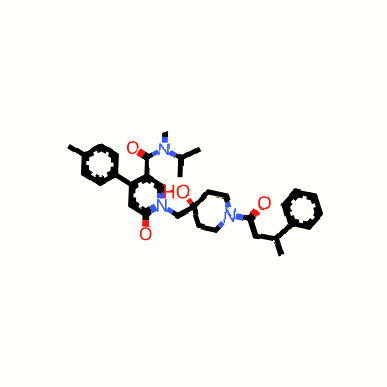 Cc1ccc(-c2cc(=O)n(CC3(O)CCN(C(=O)CC(C)c4ccccc4)CC3)cc2C(=O)N(C)C(C)C)cc1